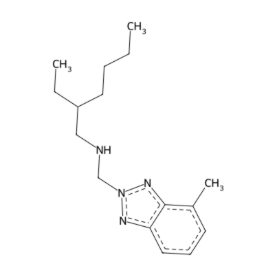 CCCCC(CC)CNCn1nc2cccc(C)c2n1